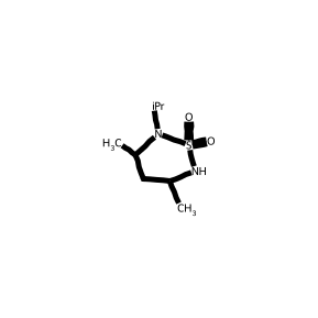 CC1CC(C)N(C(C)C)S(=O)(=O)N1